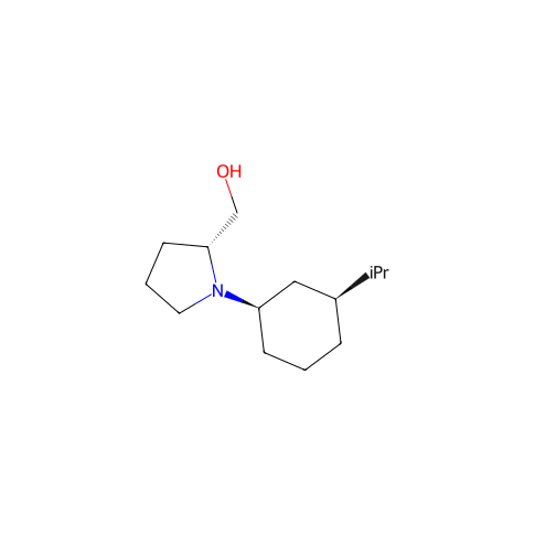 CC(C)[C@H]1CCC[C@@H](N2CCC[C@@H]2CO)C1